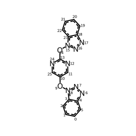 c1ccc2c(c1)nnn2Oc1cnc(On2nnc3ccccc32)nc1